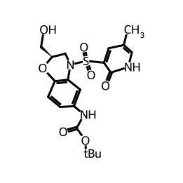 Cc1c[nH]c(=O)c(S(=O)(=O)N2C[C@H](CO)Oc3ccc(NC(=O)OC(C)(C)C)cc32)c1